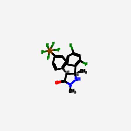 CN1N[C@](C)(c2ccc(F)cc2F)[C@@H](c2ccc(S(F)(F)(F)(F)F)cc2)C1=O